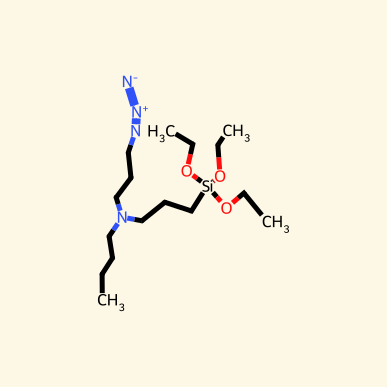 CCCCN(CCCN=[N+]=[N-])CCC[Si](OCC)(OCC)OCC